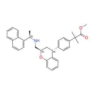 COC(=O)C(C)(C)c1ccc([C@H]2C[C@H](CN[C@H](C)c3cccc4ccccc34)Oc3ccccc32)cc1